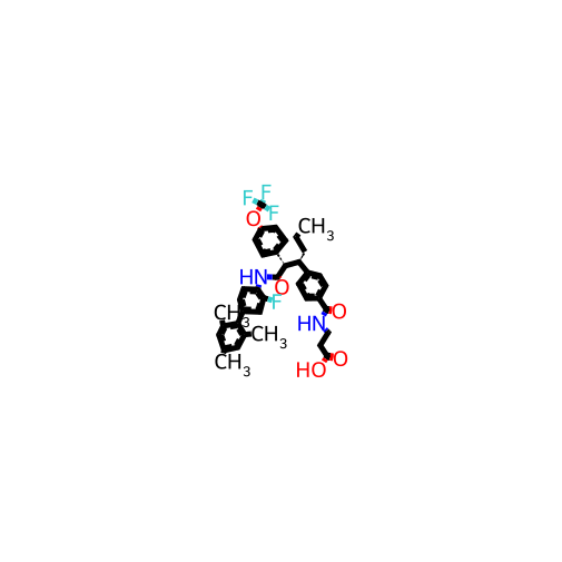 CCC[C@H](c1ccc(C(=O)NCCC(=O)O)cc1)[C@H](C(=O)Nc1ccc(-c2c(C)cc(C)cc2C)cc1F)c1ccc(OC(F)(F)F)cc1